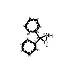 c1ccc(C2(c3ccccc3)NO2)cc1